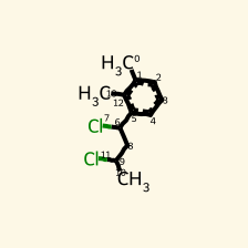 Cc1cccc(C(Cl)CC(C)Cl)c1C